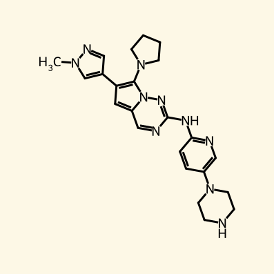 Cn1cc(-c2cc3cnc(Nc4ccc(N5CCNCC5)cn4)nn3c2N2CCCC2)cn1